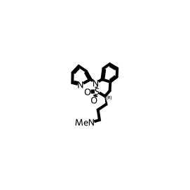 CNCCC[C@@H]1Cc2ccccc2N(c2ccccn2)S1(=O)=O